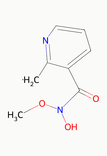 [CH2]c1ncccc1C(=O)N(O)OC